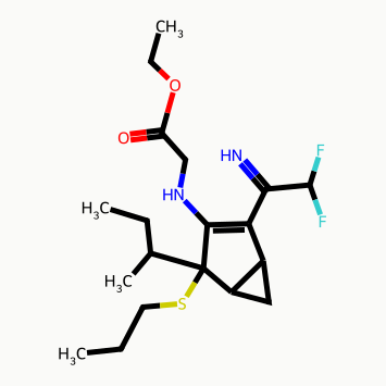 CCCSC1(C(C)CC)C(NCC(=O)OCC)=C(C(=N)C(F)F)C2CC21